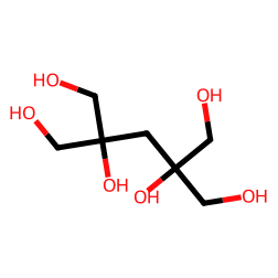 OCC(O)(CO)CC(O)(CO)CO